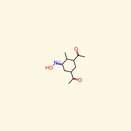 CC(=O)C1C/C(=N\O)C(C)C(C(C)=O)C1